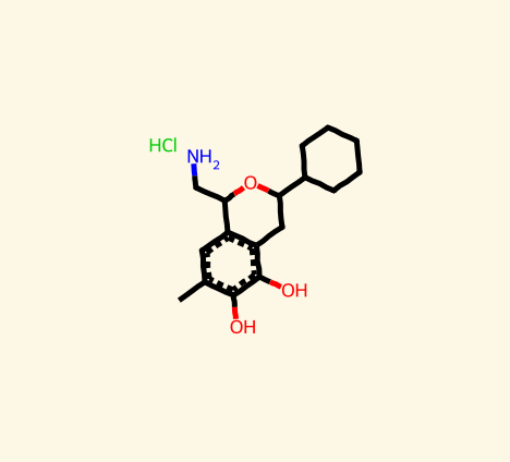 Cc1cc2c(c(O)c1O)CC(C1CCCCC1)OC2CN.Cl